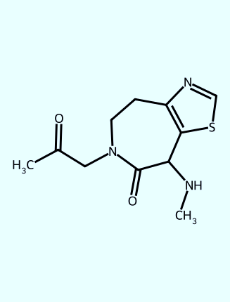 CNC1C(=O)N(CC(C)=O)CCc2ncsc21